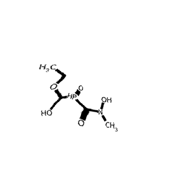 CCOC(O)[PH](=O)C(=O)N(C)O